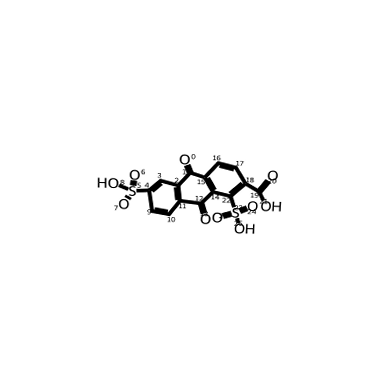 O=C1c2cc(S(=O)(=O)O)ccc2C(=O)c2c1ccc(C(=O)O)c2S(=O)(=O)O